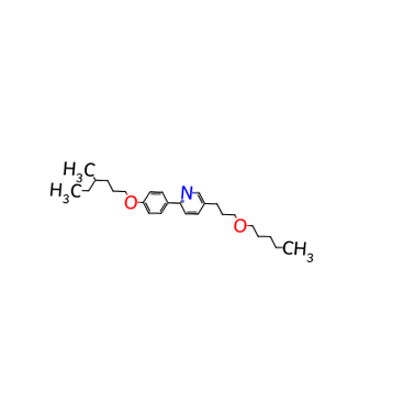 CCCCCOCCCc1ccc(-c2ccc(OCCCC(C)CC)cc2)nc1